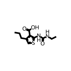 CCCc1csc(NC(=O)NCC)c1C(=O)O